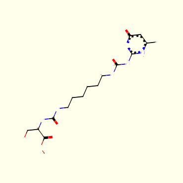 COC(=O)C(CO)NC(=O)NCCCCCCNC(=O)Nc1nc(=O)cc(C)[nH]1